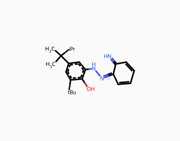 CC(C)C(C)(C)c1cc(N/N=C2/C=CC=CC2=N)c(O)c(C(C)(C)C)c1